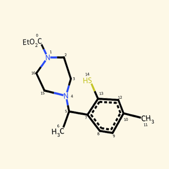 CCOC(=O)N1CCN(C(C)c2ccc(C)cc2S)CC1